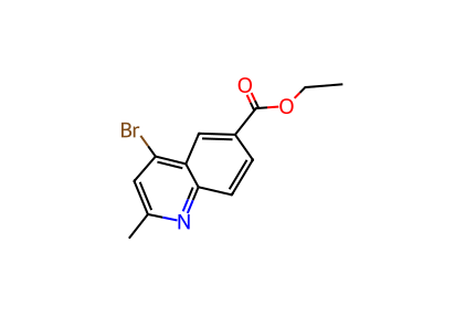 CCOC(=O)c1ccc2nc(C)cc(Br)c2c1